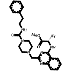 COC(=O)[C@@H](Nc1nc(CN2CCN(C(=O)NCCc3ccccc3)CC2)nc2ccccc12)C(C)C